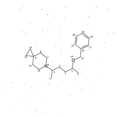 CC(CCC(C)N1CCC2(CC1)CC2)OCc1ccccc1